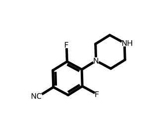 N#Cc1cc(F)c(N2CCNCC2)c(F)c1